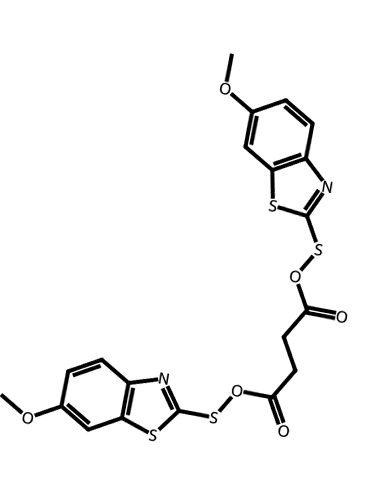 COc1ccc2nc(SOC(=O)CCC(=O)OSc3nc4ccc(OC)cc4s3)sc2c1